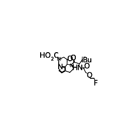 CCC(C)C(NC(=O)COCCF)C(=O)[C@H]1CCc2ccn3c2C1C(=O)C[C@H](C(=O)O)C3